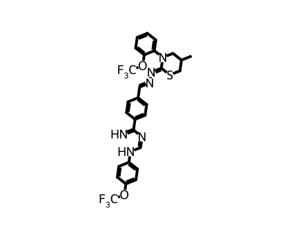 CC1CS/C(=N\N=C\c2ccc(C(=N)/N=C\Nc3ccc(OC(F)(F)F)cc3)cc2)N(c2ccccc2OC(F)(F)F)C1